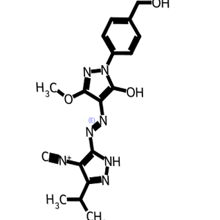 [C-]#[N+]c1c(C(C)C)n[nH]c1/N=N/c1c(OC)nn(-c2ccc(CO)cc2)c1O